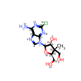 C[C@]1(CO)[C@H](O)C(n2cnc3c(N)nc(Cl)nc32)O[C@@H]1CO